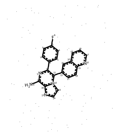 Nc1nc(-c2ccc(F)cc2)c(-c2ccc3ncccc3c2)n2ccnc12